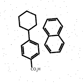 O=C(O)c1ccc(C2CCCCC2)cc1.c1ccc2ccccc2c1